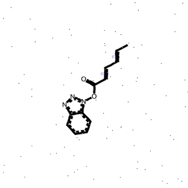 C/C=C/C=C/C(=O)On1nnc2ccccc21